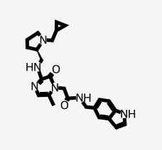 Cc1cnc(NC[C@H]2CCCN2CC2CC2)c(=O)n1CC(=O)NCc1ccc2[nH]ccc2c1